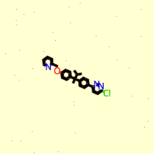 CC(C)C(C)(c1ccc(OCc2ccccn2)cc1)c1ccc(-c2ccc(Cl)nn2)cc1